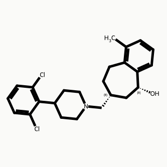 Cc1cccc2c1CC[C@@H](CN1CCC(c3c(Cl)cccc3Cl)CC1)C[C@H]2O